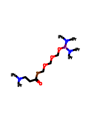 CC(C)N(CCC(=O)SCOCOCOP(N(C(C)C)C(C)C)N(C(C)C)C(C)C)C(C)C